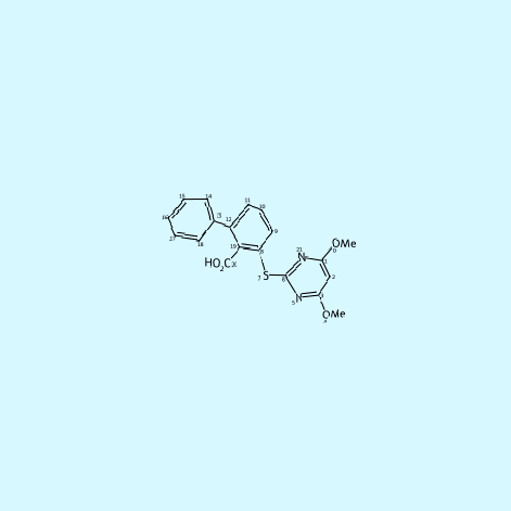 COc1cc(OC)nc(Sc2cccc(-c3ccccc3)c2C(=O)O)n1